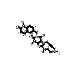 CC#CCn1c(N(C)CCN)nc2c1c(=O)n(Cc1ccc3c(ccc(=O)n3C)c1)c(=O)n2C